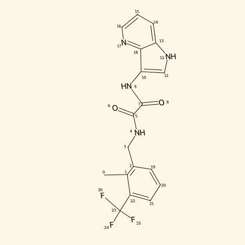 Cc1c(CNC(=O)C(=O)Nc2c[nH]c3cccnc23)cccc1C(F)(F)F